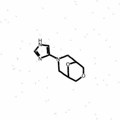 c1nc(N2CC3COCC(C2)O3)c[nH]1